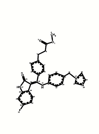 COC(=O)CCc1ccc(C(Nc2ccc(Cn3ccnc3)cc2)=C2C(=O)Nc3cc(F)ccc32)cc1